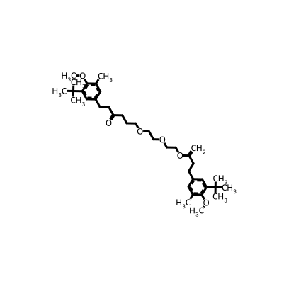 C=C(CCc1cc(C)c(OC)c(C(C)(C)C)c1)OCCOCCOCCCC(=O)CCc1cc(C)c(OC)c(C(C)(C)C)c1